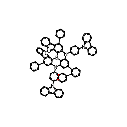 c1ccc(-c2ccccc2-c2cc3c4c(c2)N(c2ccc(-n5c6ccccc6c6ccccc65)cc2)c2cc(-c5ccccc5)c5c(oc6ccccc65)c2B4c2c(cc(-c4ccccc4)c4c2oc2ccccc24)N3c2ccc(-n3c4ccccc4c4ccccc43)cc2)cc1